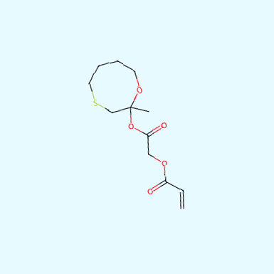 C=CC(=O)OCC(=O)OC1(C)CSCCCCO1